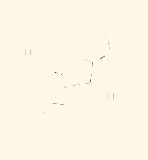 C=C1[C@H](OC)C[C@H](OC)[C@H]1COC